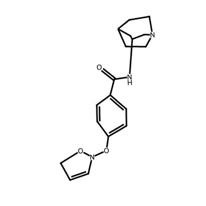 O=C(NC1CC2CCN(CC2)C1)c1ccc(ON2C=CCO2)cc1